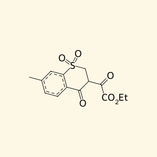 CCOC(=O)C(=O)C1CS(=O)(=O)c2cc(C)ccc2C1=O